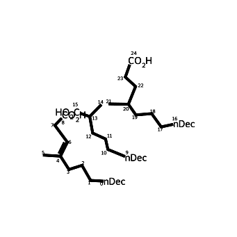 CCCCCCCCCCCCCC(C)=CCC(=O)O.CCCCCCCCCCCCCC(C)C(=O)O.CCCCCCCCCCCCCC(C)CCC(=O)O